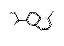 COC(=O)c1ccc2c(Cl)ncnc2c1